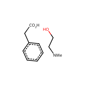 CNCCO.O=C(O)Cc1ccccc1